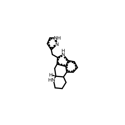 c1cc2c3c(c(Cc4cc[nH]n4)[nH]c3c1)C[C@H]1NCCCC21